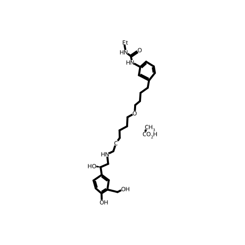 CC(=O)O.CCNC(=O)Nc1cccc(CCCCOCCCCCCNC[C@H](O)c2ccc(O)c(CO)c2)c1